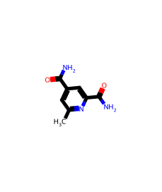 Cc1cc(C(N)=O)cc(C(N)=O)n1